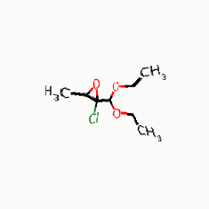 CCOC(OCC)C1(Cl)OC1C